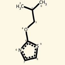 CC(C)COc1nccs1